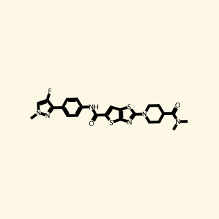 CN(C)C(=O)C1CCN(c2nc3sc(C(=O)Nc4ccc(-c5nn(C)cc5F)cc4)cc3s2)CC1